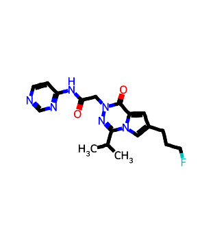 CC(C)c1nn(CC(=O)Nc2ccncn2)c(=O)c2cc(CCCF)cn12